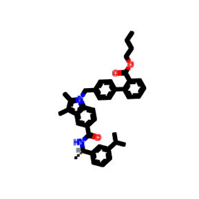 CCCCOC(=O)c1ccccc1-c1ccc(Cn2c(C)c(C)c3cc(C(=O)N[C@@H](C)c4cccc(C(C)C)c4)ccc32)cc1